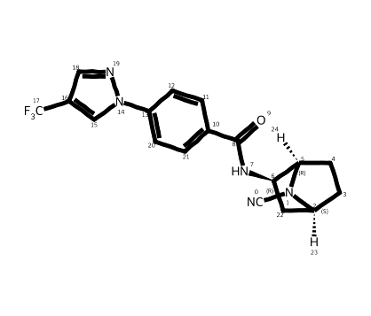 N#CN1[C@H]2CC[C@@H]1[C@H](NC(=O)c1ccc(-n3cc(C(F)(F)F)cn3)cc1)C2